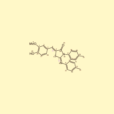 COc1cc(/C=C2\S/C(=N/c3ccc(C)cc3)N(c3ccc(C)cc3)C2=O)ccc1O